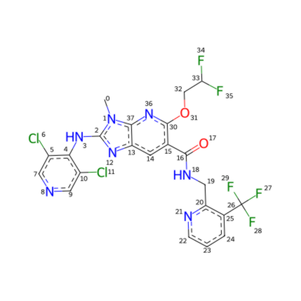 Cn1c(Nc2c(Cl)cncc2Cl)nc2cc(C(=O)NCc3ncccc3C(F)(F)F)c(OCC(F)F)nc21